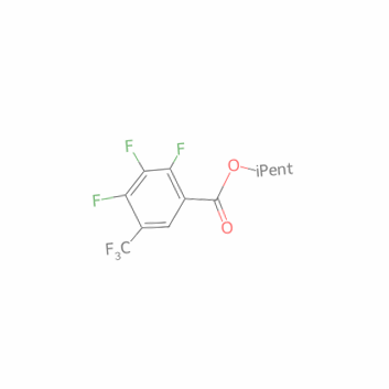 CCCC(C)OC(=O)c1cc(C(F)(F)F)c(F)c(F)c1F